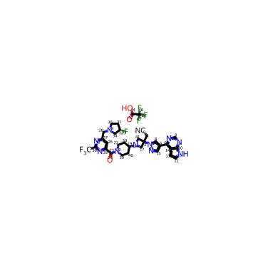 N#CCC1(n2cc(-c3ncnc4[nH]ccc34)cn2)CN(C2CCN(C(=O)c3cc(CN4CC[C@@H](F)C4)nc(C(F)(F)F)n3)CC2)C1.O=C(O)C(F)(F)F